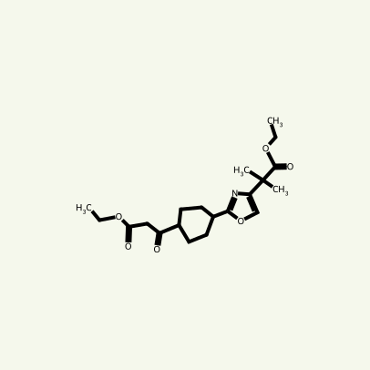 CCOC(=O)CC(=O)C1CCC(c2nc(C(C)(C)C(=O)OCC)co2)CC1